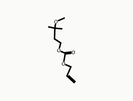 C=CCOC(=O)OCCC(C)(C)OC